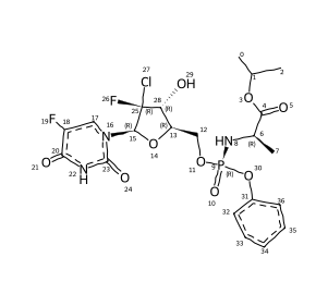 CC(C)OC(=O)[C@@H](C)N[P@@](=O)(OC[C@H]1O[C@@H](n2cc(F)c(=O)[nH]c2=O)[C@](F)(Cl)[C@@H]1O)Oc1ccccc1